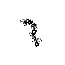 COc1cc(-c2nccc(-c3cc4n(n3)CCNC4=O)n2)ccc1OCC(=O)Nc1ccccc1